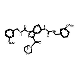 COc1cccc(CNC(=O)Nc2ccc3c(c2)c(C(=O)N2CCN4CCC2CC4)nn3C(=O)NCc2cccc(OC)c2)c1